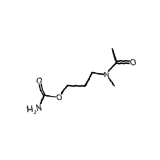 CC(=O)N(C)CCCOC(N)=O